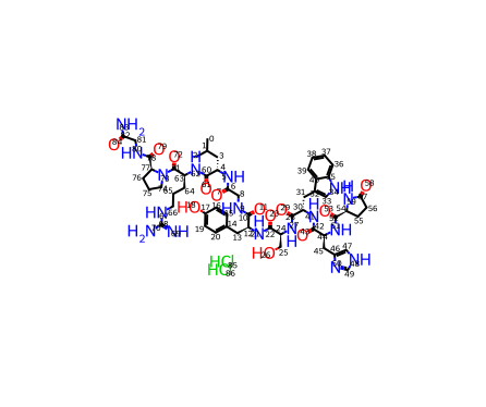 CC(C)C[C@H](NC(=O)CNC(=O)[C@H](Cc1ccc(O)cc1)NC(=O)[C@H](CO)NC(=O)[C@H](Cc1c[nH]c2ccccc12)NC(=O)[C@H](Cc1c[nH]cn1)NC(=O)[C@@H]1CCC(=O)N1)C(=O)N[C@@H](CCCNC(=N)N)C(=O)N1CCC[C@H]1C(=O)NCC(N)=O.Cl.Cl